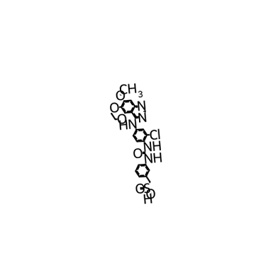 COc1cc2ncnc(Nc3ccc(NC(=O)Nc4cccc(C[SH](=O)=O)c4)c(Cl)c3)c2c2c1OCCO2